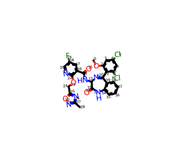 COc1cc(Cl)cc(Cl)c1C1=NC(NC(=O)c2cc(F)cnc2OCc2nc(C)no2)C(=O)Nc2ccccc21